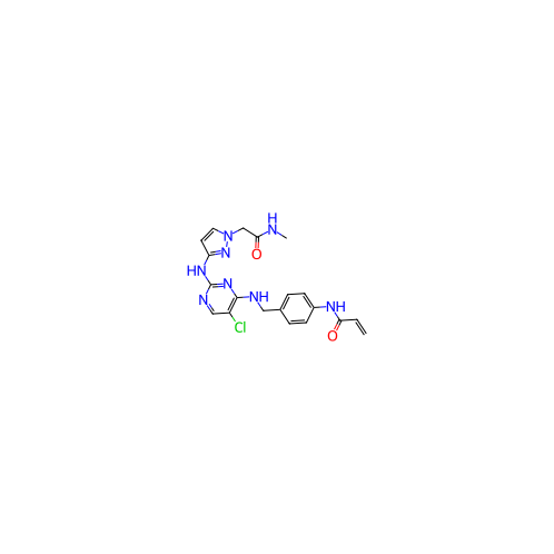 C=CC(=O)Nc1ccc(CNc2nc(Nc3ccn(CC(=O)NC)n3)ncc2Cl)cc1